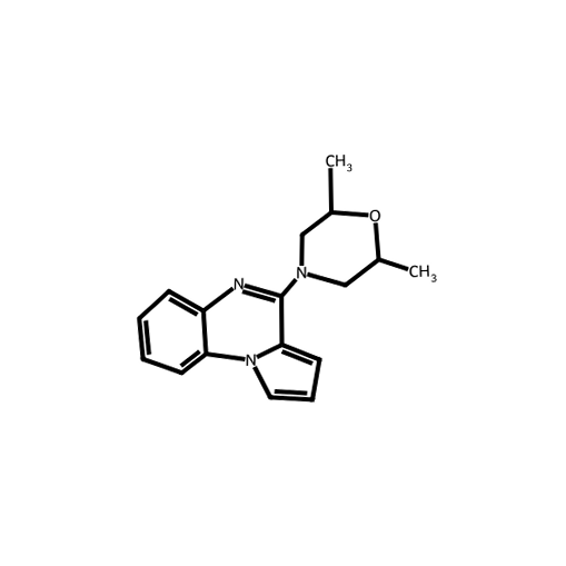 CC1CN(c2nc3ccccc3n3cccc23)CC(C)O1